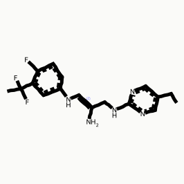 CCc1cnc(NC/C(N)=C/Nc2ccc(F)c(C(C)(F)F)c2)nc1